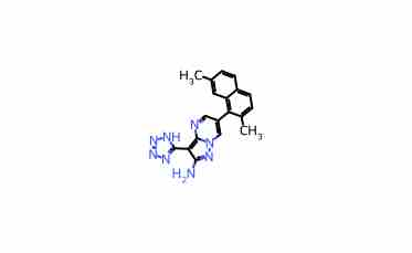 Cc1ccc2ccc(C)c(-c3cnc4c(-c5nnn[nH]5)c(N)nn4c3)c2c1